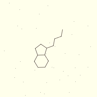 CCCCC1CCC2CCCCC12